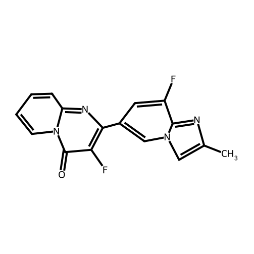 Cc1cn2cc(-c3nc4ccccn4c(=O)c3F)cc(F)c2n1